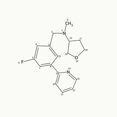 CN(Cc1cc(F)cc(-c2ccccn2)c1)C1CCOC1